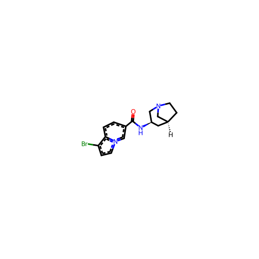 O=C(N[C@@H]1C[C@@H]2CCN(C2)C1)c1ccc2c(Br)ccn2c1